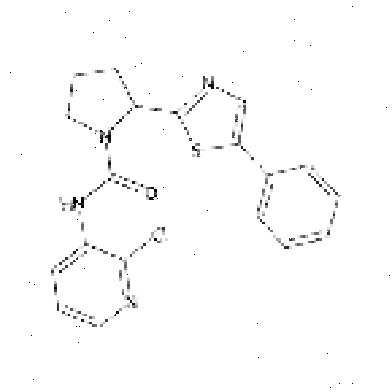 O=C(Nc1cccnc1Cl)N1CCCC1c1ncc(-c2ccccc2)s1